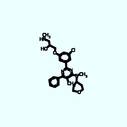 CNCC(O)COc1cc(Cl)cc(-c2nc(-c3ccccc3)c(C)c(N(C)C3CCOCC3)n2)c1